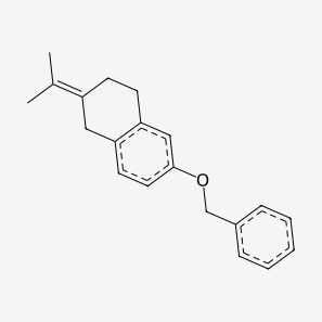 CC(C)=C1CCc2cc(OCc3ccccc3)ccc2C1